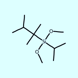 CO[Si](OC)(C(C)C)C(C)(C)C(C)C